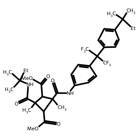 CCC(C)(C)NC(=O)C1(C)C(C(=O)OC)C(C)(C(=O)Nc2ccc(C(c3ccc(C(C)(C)CC)cc3)(C(F)(F)F)C(F)(F)F)cc2)C1C(=O)OC